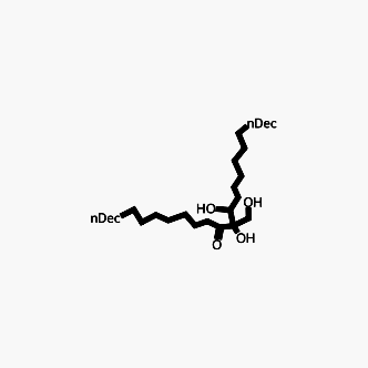 CCCCCCCCCCCCCCCCCC(=O)C(O)(CO)C(O)CCCCCCCCCCCCCCCC